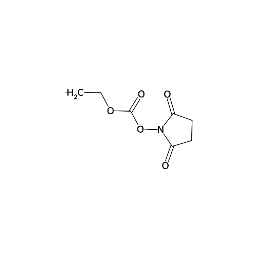 [CH2]COC(=O)ON1C(=O)CCC1=O